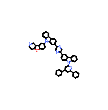 c1ccc(-c2cc(-c3ccccc3)nc(-n3c4ccccc4c4cc(-c5cnc(-c6ccc7c8ccccc8n(-c8ccc9oc%10ccncc%10c9c8)c7c6)cn5)ccc43)c2)cc1